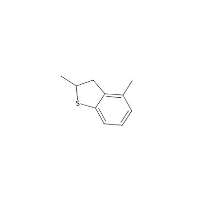 Cc1cccc2c1CC(C)S2